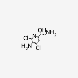 NCC(O)c1cc(Cl)c(N)c(Cl)n1